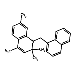 CC1=CC(C)(C)N(Cc2cccc3ccccc23)c2cc(C)ccc21